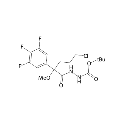 COC(CCCCl)(C(=O)NNC(=O)OC(C)(C)C)c1cc(F)c(F)c(F)c1